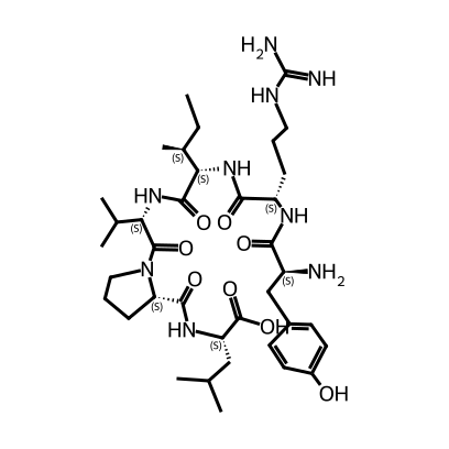 CC[C@H](C)[C@H](NC(=O)[C@H](CCCNC(=N)N)NC(=O)[C@@H](N)Cc1ccc(O)cc1)C(=O)N[C@H](C(=O)N1CCC[C@H]1C(=O)N[C@@H](CC(C)C)C(=O)O)C(C)C